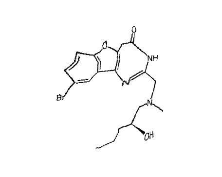 CCC[C@H](O)CN(C)Cc1nc2c(oc3ccc(Br)cc32)c(=O)[nH]1